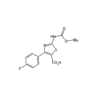 CC(C)(C)OC(=O)Nc1nc(-c2ccc(F)cc2)c(C(=O)O)s1